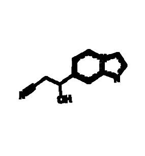 N#CCC(O)c1ccn2ccnc2c1